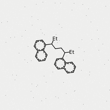 [CH2]CC(CCC(CC)c1cccc2ccccc12)c1cccc2ccccc12